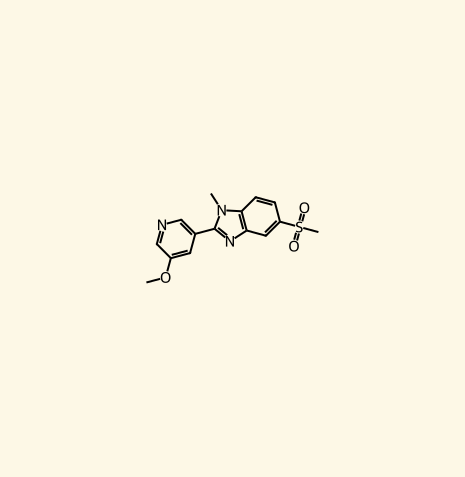 COc1cncc(-c2nc3cc(S(C)(=O)=O)ccc3n2C)c1